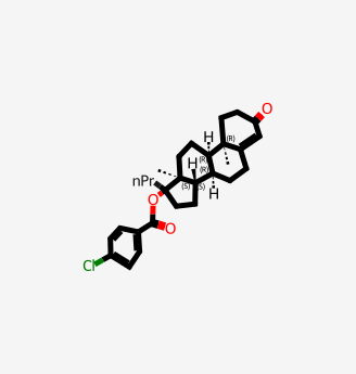 CCCC1(OC(=O)c2ccc(Cl)cc2)CC[C@H]2[C@@H]3CCC4=CC(=O)CC[C@]4(C)[C@@H]3CC[C@@]21C